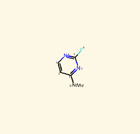 CNc1ccnc(F)n1